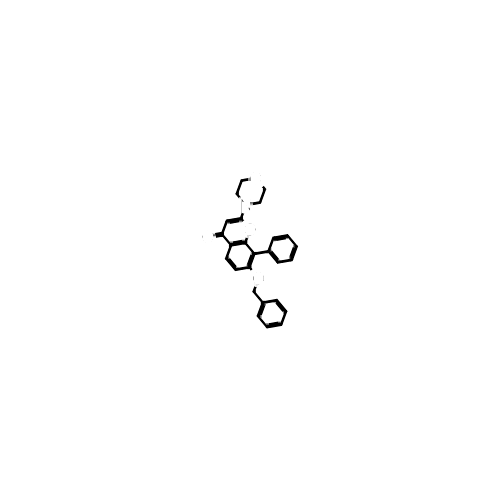 O=c1cc(N2CCOCC2)oc2c(-c3ccccc3)c(OCc3ccccc3)ccc12